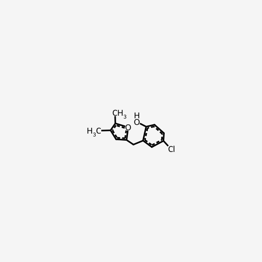 Cc1cc(Cc2cc(Cl)ccc2O)oc1C